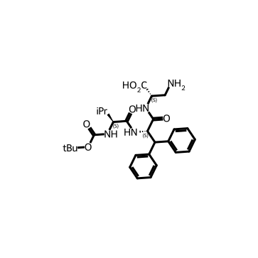 CC(C)[C@H](NC(=O)OC(C)(C)C)C(=O)N[C@H](C(=O)N[C@@H](CN)C(=O)O)C(c1ccccc1)c1ccccc1